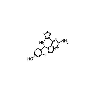 Nc1nc2c3c(ccn3n1)C(c1ccc(O)cc1F)Nc1sccc1-2